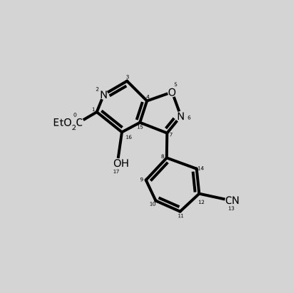 CCOC(=O)c1ncc2onc(-c3cccc(C#N)c3)c2c1O